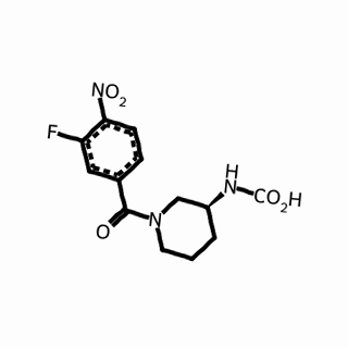 O=C(O)N[C@H]1CCCN(C(=O)c2ccc([N+](=O)[O-])c(F)c2)C1